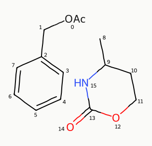 CC(=O)OCc1ccccc1.CC1CCOC(=O)N1